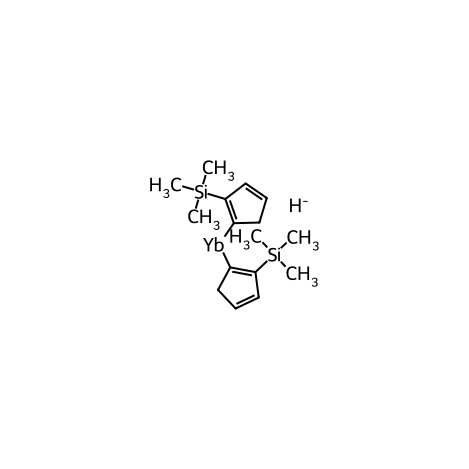 C[Si](C)(C)C1=[C]([Yb][C]2=C([Si](C)(C)C)C=CC2)CC=C1.[H-]